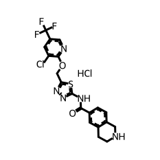 Cl.O=C(Nc1nnc(COc2ncc(C(F)(F)F)cc2Cl)s1)c1ccc2c(c1)CCNC2